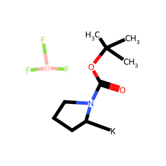 CC(C)(C)OC(=O)N1CCC[CH]1[K].FB(F)F